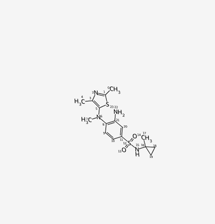 Cc1nc(C)c(N(C)c2ccc(S(=O)(=O)NC3(C)CC3)cc2N)s1